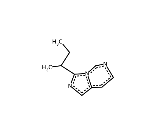 CCC(C)c1ncc2ccncn12